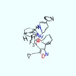 N#Cc1ccc(N[C@H]2[C@@H]3CC[C@H]2C[C@H](OCc2c(-c4ccccc4OC(F)(F)F)noc2C2CC2)C3)nc1